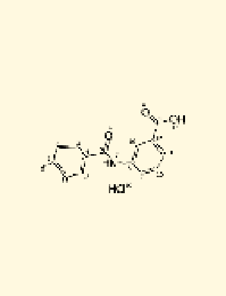 Cc1ccc(C(=O)Nc2cccc(C(=O)O)c2)cc1.Cl